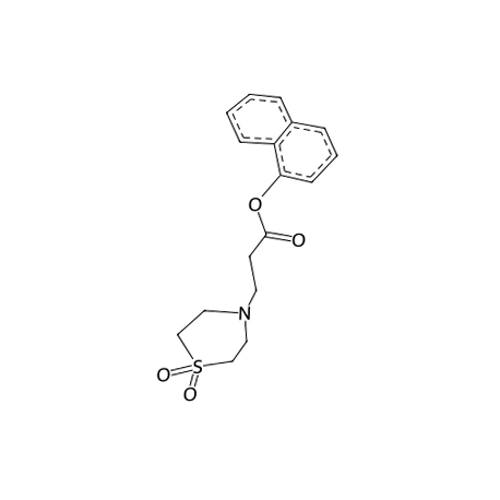 O=C(CCN1CCS(=O)(=O)CC1)Oc1cccc2ccccc12